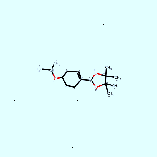 C[SiH](C)OC1CC=C(B2OC(C)(C)C(C)(C)O2)CC1